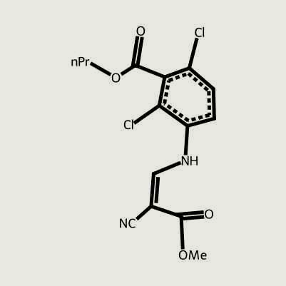 CCCOC(=O)c1c(Cl)ccc(NC=C(C#N)C(=O)OC)c1Cl